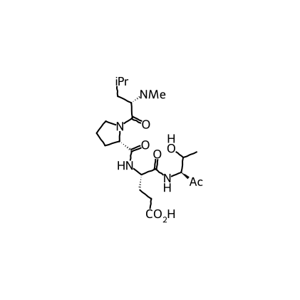 CN[C@@H](CC(C)C)C(=O)N1CCC[C@H]1C(=O)N[C@@H](CCC(=O)O)C(=O)N[C@H](C(C)=O)C(C)O